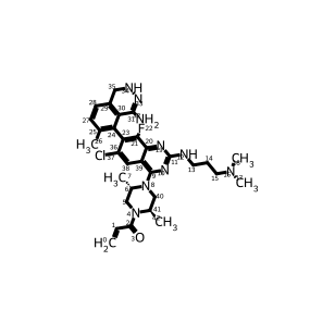 C=CC(=O)N1C[C@H](C)N(c2nc(NCCCN(C)C)nc3c(F)c(-c4c(C)ccc5c4C(N)=NNC5)c(Cl)cc23)C[C@H]1C